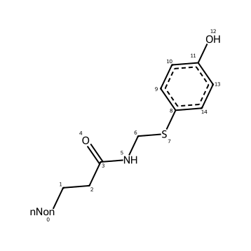 CCCCCCCCCCCC(=O)NCSc1ccc(O)cc1